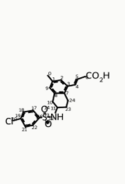 Cc1cc(C=CC(=O)O)c2c(c1)CC(NS(=O)(=O)c1ccc(Cl)cc1)CC2